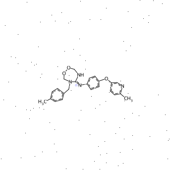 Cc1ccc(CN2COOCN/C2=N\c2ccc(Oc3ccc(C)nc3)cc2)cc1